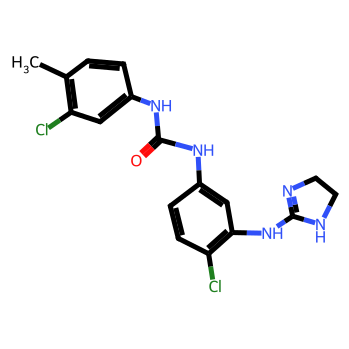 Cc1ccc(NC(=O)Nc2ccc(Cl)c(NC3=NCCN3)c2)cc1Cl